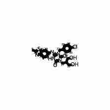 Cc1nc2ccc(/N=c3\[nH]c(=O)n(CC(CO)CO)c(=O)n3Cc3ccc(Cl)cc3)cc2s1